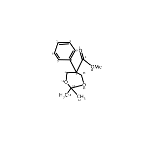 COC(=O)C1(c2ccccc2)COC(C)(C)OC1